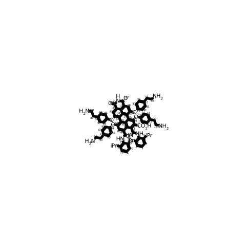 CC(C)c1cccc(C(C)C)c1NC(=N)c1c(C(=O)O)c(Oc2ccc(CCN)cc2)c2c3c(Oc4ccc(CCN)cc4)cc4c5c(cc(Oc6ccc(CCN)cc6)c(c6c(Oc7ccc(CCN)cc7)cc(C(=O)Nc7c(C(C)C)cccc7C(C)C)c1c62)c53)C(=O)NC4=O